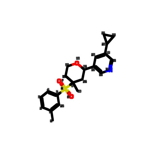 Cc1cccc(S(=O)(=O)C2(C)CCOC(c3cncc(C4CC4)c3)C2)c1